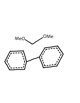 COCOC.c1ccc(-c2ccccc2)cc1